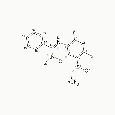 Cc1cc(C)c([S+]([O-])CC(F)(F)F)cc1/N=C(/c1ccccc1)N(C)C